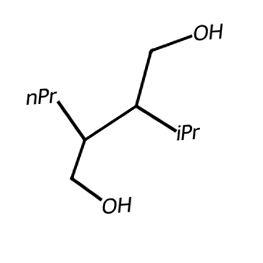 CCCC(CO)C(CO)C(C)C